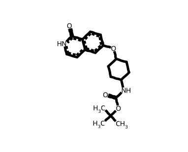 CC(C)(C)OC(=O)NC1CCC(Oc2ccc3c(=O)[nH]ccc3c2)CC1